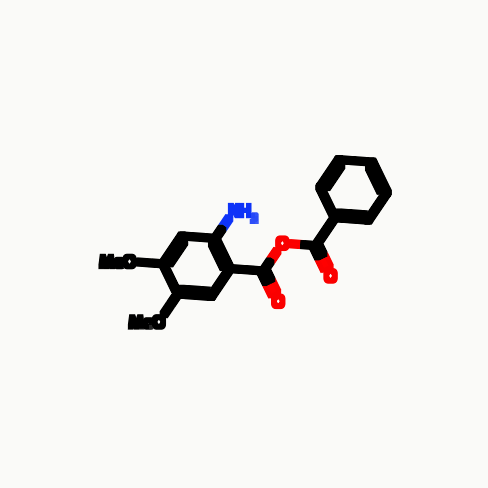 COc1cc(N)c(C(=O)OC(=O)c2ccccc2)cc1OC